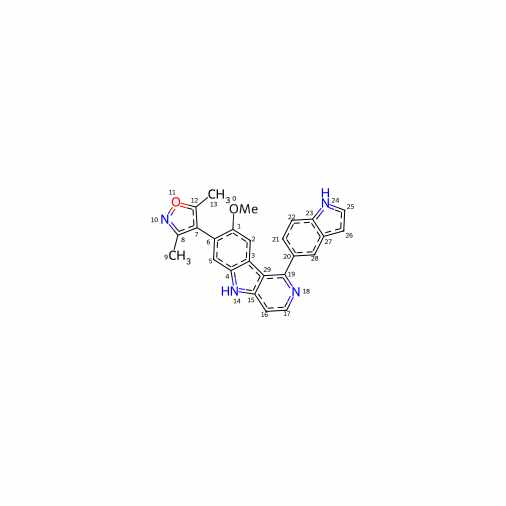 COc1cc2c(cc1-c1c(C)noc1C)[nH]c1ccnc(-c3ccc4[nH]ccc4c3)c12